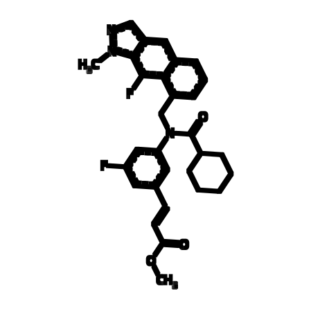 COC(=O)/C=C/c1cc(F)cc(N(Cc2cccc3cc4cnn(C)c4c(F)c23)C(=O)C2CCCCC2)c1